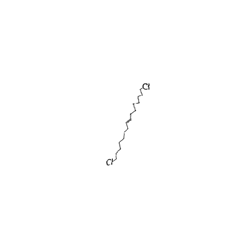 ClCCCCCCCC=CCCCCCCCCl